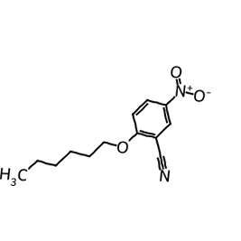 CCCCCCOc1ccc([N+](=O)[O-])cc1C#N